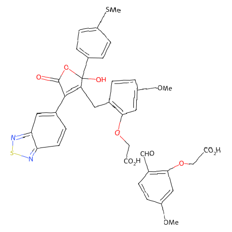 COc1ccc(C=O)c(OCC(=O)O)c1.COc1ccc(CC2=C(c3ccc4nsnc4c3)C(=O)OC2(O)c2ccc(SC)cc2)c(OCC(=O)O)c1